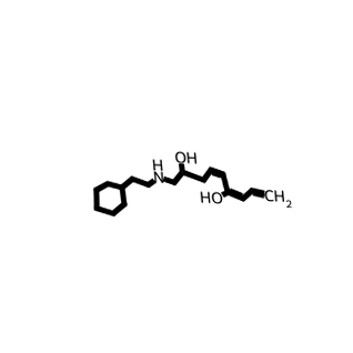 C=C/C=C(O)\C=C/CC(O)CNCCC1CCCCC1